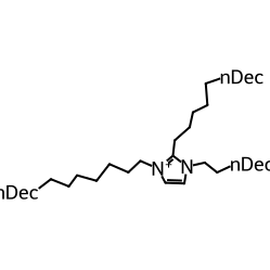 CCCCCCCCCCCCCCCCC[n+]1ccn(CCCCCCCCCCCC)c1CCCCCCCCCCCCCCC